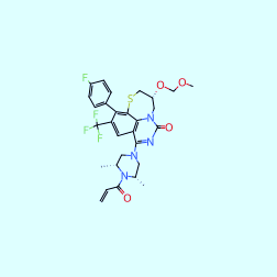 C=CC(=O)N1[C@H](C)CN(c2nc(=O)n3c4c(c(-c5ccc(F)cc5)c(C(F)(F)F)cc24)SC[C@H](OCOC)C3)C[C@@H]1C